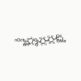 CCCCCCCCC(CCC)c1ccc(OC(=O)c2ccc(-c3ccc(C(C)OC)cc3)cc2)cc1